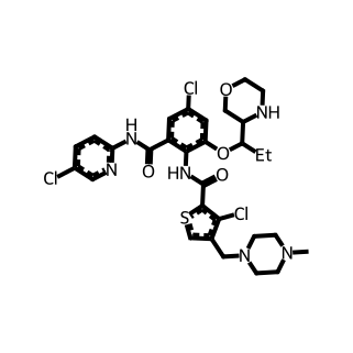 CCC(Oc1cc(Cl)cc(C(=O)Nc2ccc(Cl)cn2)c1NC(=O)c1scc(CN2CCN(C)CC2)c1Cl)C1COCCN1